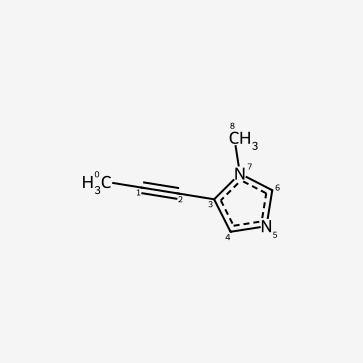 CC#Cc1cncn1C